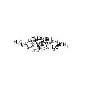 CI.COc1ccc2c(c1)CC[C@@H]1[C@@H]2CC[C@@]2(C)[C@H]1CC[C@@]2(O)C#CCN(C)C